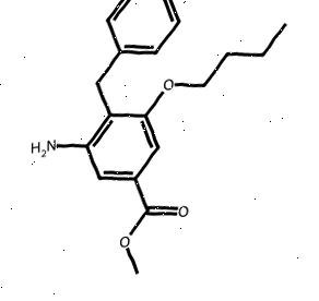 CCCCOc1cc(C(=O)OC)cc(N)c1Cc1ccccc1